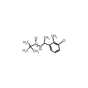 Cc1c(Cl)cccc1C(C)N[S@+]([O-])C(C)(C)C